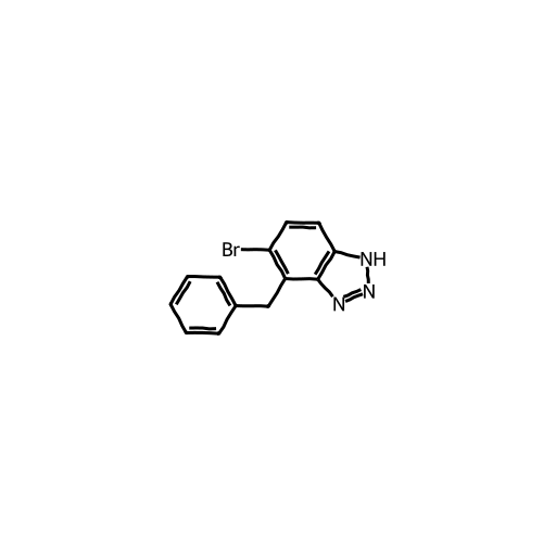 Brc1ccc2[nH]nnc2c1Cc1ccccc1